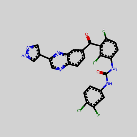 O=C(Nc1ccc(Cl)c(F)c1)Nc1ccc(F)c(C(=O)c2ccc3ncc(-c4cn[nH]c4)nc3c2)c1F